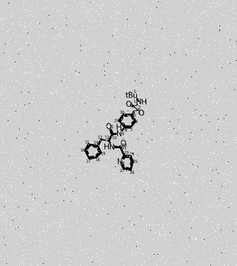 CC(C)(C)NS(=O)(=O)c1ccc(NC(=O)[C@H](Cc2ccccc2)NC(=O)c2ccccn2)cc1